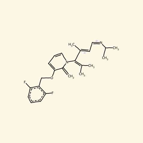 C=C1C(OCc2c(F)cccc2F)=CC=CN1C(=C(C)C)/C(C)=C/C=N\C(C)C